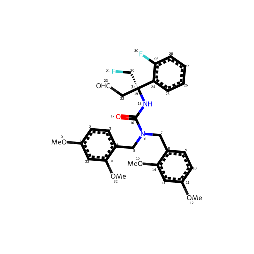 COc1ccc(CN(Cc2ccc(OC)cc2OC)C(=O)N[C@@](CF)(CC=O)c2ccccc2F)c(OC)c1